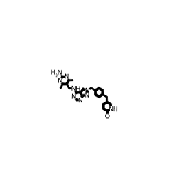 Cc1nc(N)nc(C)c1CNc1ncnc2nn(Cc3ccc(Cc4ccc(=O)[nH]c4)cc3)cc12